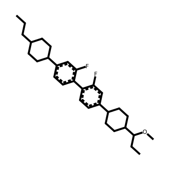 CCCC1CCC(c2ccc(-c3ccc(C4CCC(C(CC)OC)CC4)cc3F)c(F)c2)CC1